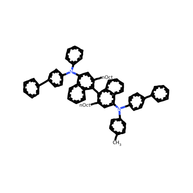 CCCCCCCCc1cc(N(c2ccccc2)c2ccc(-c3ccccc3)cc2)c2ccccc2c1-c1c(CCCCCCCC)cc(N(c2ccc(C)cc2)c2ccc(-c3ccccc3)cc2)c2ccccc12